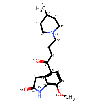 COc1ccc(C(=O)CCCN2CCC(C)CC2)c2c1NC(=O)C2